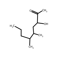 CCCC(C)C(C)CC(O)C(C)=O